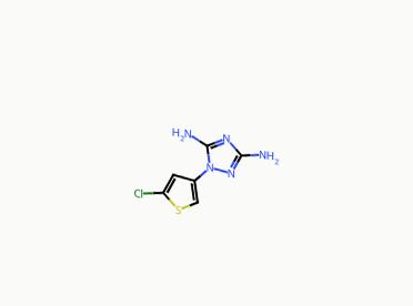 Nc1nc(N)n(-c2csc(Cl)c2)n1